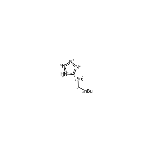 CCCC[CH2][Sn].c1nnn[nH]1